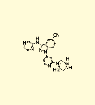 N#Cc1ccc2c(c1)c(Nc1cnccn1)nn2-c1ccnc(N2C[C@@H]3C[C@H]2CN3)c1